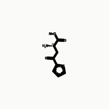 COC(=O)[C@@H](N)CC(=O)c1cccs1